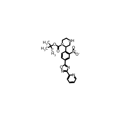 CC(C)(C)OC(=O)N1CCNCC1c1ccc(-c2nc(-c3ccccn3)no2)cc1[N+](=O)[O-]